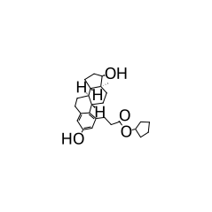 C[C@]12CC[C@@H]3c4c(CCC(=O)OC5CCCC5)cc(O)cc4CC[C@H]3[C@@H]1CC[C@H]2O